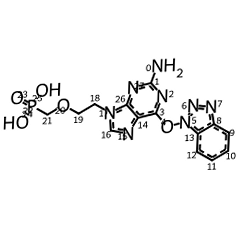 Nc1nc(On2nnc3ccccc32)c2ncn(CCOCP(=O)(O)O)c2n1